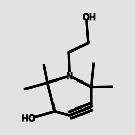 CC1(C)C#CC(O)C(C)(C)N1CCO